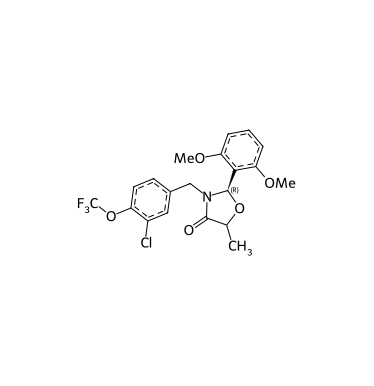 COc1cccc(OC)c1[C@H]1OC(C)C(=O)N1Cc1ccc(OC(F)(F)F)c(Cl)c1